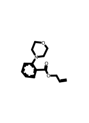 C=CCOC(=O)c1[c]cccc1N1CCOCC1